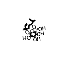 C=C[C@](C)(CCC(=O)C(=C)C)O[C@@H]1O[C@H](CO)[C@@H](O)[C@H](O)[C@H]1O